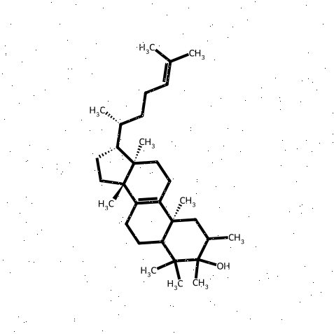 CC(C)=CCC[C@@H](C)[C@H]1CC[C@@]2(C)C3=C(CC[C@]12C)[C@@]1(C)CC(C)C(C)(O)C(C)(C)C1CC3